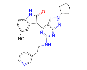 [C-]#[N+]c1ccc2c(c1)C(c1nc(NCCc3cccnc3)nc3nn(C4CCCC4)cc13)C(=O)N2